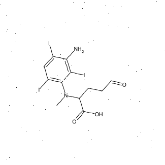 CN(c1c(I)cc(I)c(N)c1I)C(CCC=O)C(=O)O